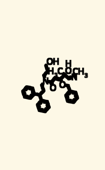 C/N=C\C(C)(O)/C(=C/C(=O)N(CCCO)CCC(c1ccccc1)c1ccccc1)OCc1ccccc1